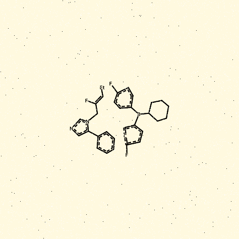 CCC=C(F)Cn1cncc1-c1ccccc1.Fc1ccc(B(c2ccc(F)cc2)C2CCCCC2)cc1